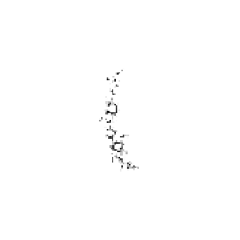 C=COC(=O)CCCOc1ccc(OC(=O)c2ccc3c(c2)C(C)c2cc(OC(=O)C(=C)COC)ccc2-3)cc1